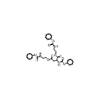 O=C(CC(NC(=O)Oc1ccccc1)C(=O)OCCNC(=O)Oc1ccccc1)OCCNC(=O)Oc1ccccc1